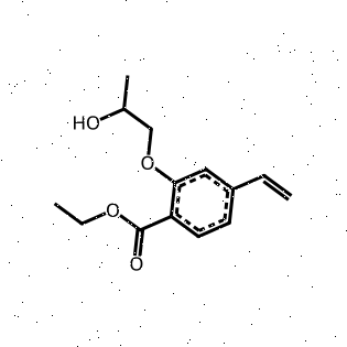 C=Cc1ccc(C(=O)OCC)c(OCC(C)O)c1